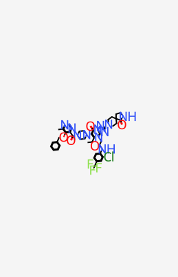 CCc1c(N2CCN(C(=O)c3ncnc(C)c3OCc3ccccc3)CC2)c(=O)n2nc(N3CCC4(CCNC4=O)CC3)nc2n1CC(=O)Nc1ccc(C(F)(F)F)cc1Cl